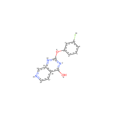 Oc1nc(Oc2cccc(F)c2)nc2cnccc12